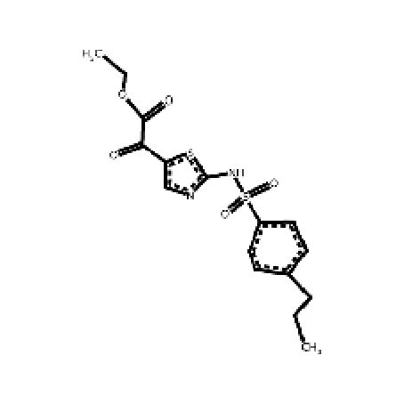 CCCc1ccc(S(=O)(=O)Nc2ncc(C(=O)C(=O)OCC)s2)cc1